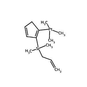 C=CC[Si](C)(C)C1=[C]([Pt]([CH3])([CH3])[CH3])CC=C1